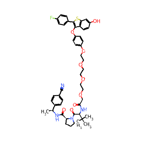 C[C@H](NC(=O)[C@@H]1CCCN1C(=O)C(NC(=O)COCCOCCOCCOc1ccc(Oc2c(-c3ccc(F)cc3)sc3cc(O)ccc23)cc1)C(C)(C)C)c1ccc(C#N)cc1